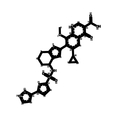 COc1c(-c2cc3c(s2)CCCC3NS(=O)(=O)c2ccc(-c3ccon3)s2)c(C2CC2)cc2c(=O)c(C(=O)O)c[nH]c12